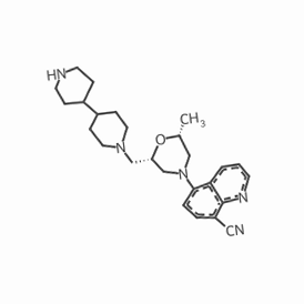 C[C@@H]1CN(c2ccc(C#N)c3ncccc23)C[C@H](CN2CCC(C3CCNCC3)CC2)O1